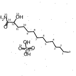 CCCCCCCCCCCCC(O)C(N)=O.O=S(=O)(O)O